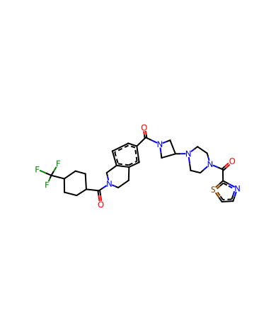 O=C(c1ccc2c(c1)CCN(C(=O)C1CCC(C(F)(F)F)CC1)C2)N1CC(N2CCN(C(=O)c3nccs3)CC2)C1